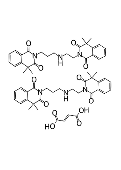 CC1(C)C(=O)N(CCCNCCN2C(=O)c3ccccc3C(C)(C)C2=O)C(=O)c2ccccc21.CC1(C)C(=O)N(CCCNCCN2C(=O)c3ccccc3C(C)(C)C2=O)C(=O)c2ccccc21.O=C(O)C=CC(=O)O